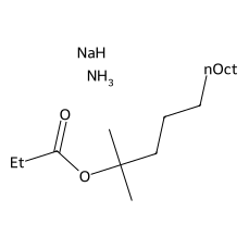 CCCCCCCCCCCC(C)(C)OC(=O)CC.N.[NaH]